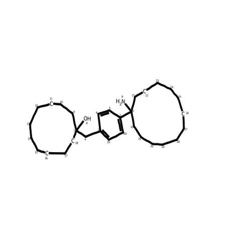 NC1(c2ccc(CC3(O)CCCCCCCCCC3)cc2)CCCCCCCCCCCC1